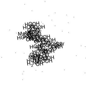 CNC(=O)[C@@]1(OCC2O[C@@H](O[C@@H]3C(CO)O[C@@H](OC4C(O)[C@H](O)C(CO)O[C@@H]4OC4[C@H](O)C(CO[C@H]5OC(CO)[C@@H](O)C(O)[C@H]5O[C@@H]5O[C@@H](CO)[C@@H](O[C@@H]6OC(CO[C@]7(C(=O)NC)C[C@@H](O)[C@@H](N)C([C@H](O)C(O)CO)O7)[C@H](O)C(O)[C@@H]6O)C(O)C5C)O[C@@H](O[C@@H]5C(CO)O[C@@H](O[C@@H]6C(CO)O[C@@H](NC(=O)CBr)[C@@H](C)C6O)[C@@H](C)C5O)[C@@H]4O)[C@@H](C)C3O)[C@@H](O)C(O)[C@H]2O)C[C@@H](O)[C@@H](N)C([C@H](O)C(O)CO)O1